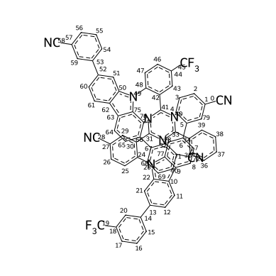 N#Cc1cccc(-c2ccc3c4ccc(-c5cccc(C(F)(F)F)c5)cc4n(-c4ccc(C#N)cc4-c4nc(-c5ccccc5)nc(-c5cc(C(F)(F)F)ccc5-n5c6cc(-c7cccc(C#N)c7)ccc6c6ccc(-c7cccc(C#N)c7)cc65)n4)c3c2)c1